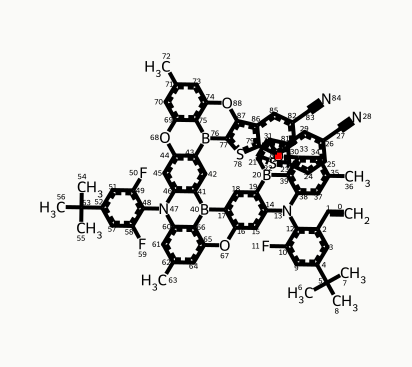 C=Cc1cc(C(C)(C)C)cc(F)c1N1c2cc3c(cc2B2c4sc5ccc(C#N)cc5c4Oc4cc(C)cc1c42)B1c2cc4c(cc2N(c2c(F)cc(C(C)(C)C)cc2F)c2cc(C)cc(c21)O3)Oc1cc(C)cc2c1B4c1sc3ccc(C#N)cc3c1O2